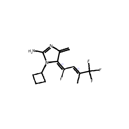 C=c1nc(N)n(C2CCC2)/c1=C(F)/C=C(\C)C(F)(F)F